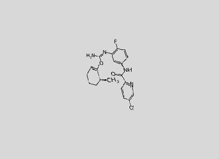 C[C@H]1CCCC=C1O/C(N)=N\c1cc(NC(=O)c2ccc(Cl)cn2)ccc1F